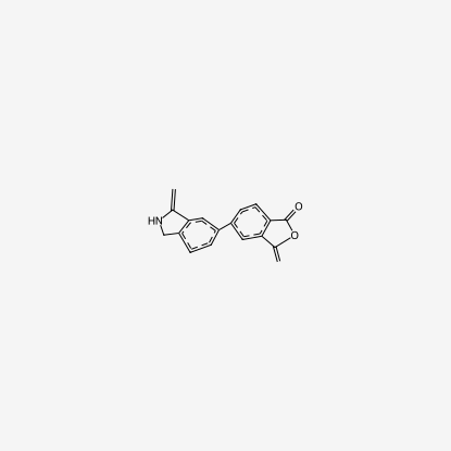 C=C1NCc2ccc(-c3ccc4c(c3)C(=C)OC4=O)cc21